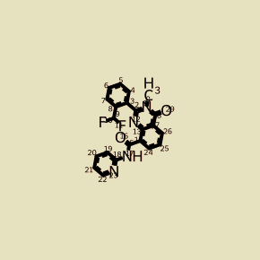 Cn1c(-c2ccccc2C(F)F)nc2c(C(=O)Nc3ccccn3)cccc2c1=O